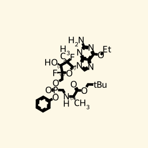 CCOc1nc(N)nc2c1ncn2[C@@H]1O[C@](F)(COP(=O)(CN[C@@H](C)C(=O)OCC(C)(C)C)Oc2ccccc2)[C@@H](O)[C@@]1(C)F